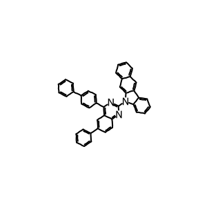 c1ccc(-c2ccc(-c3nc(-n4c5ccccc5c5cc6ccccc6cc54)nc4ccc(-c5ccccc5)cc34)cc2)cc1